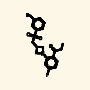 CCC(=O)c1ccc(F)cc1N1CC(CS(=O)(=O)c2cccc(Br)c2)C1